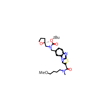 COCCCCN(C)C(=O)c1cn2c(nc3ccc(CN(C[C@]4(C)CCCO4)C(=O)OC(C)(C)C)cc32)s1